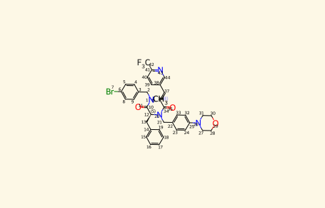 CN(Cc1ccc(Br)cc1)C(=O)[C@H](Cc1ccccc1)N(Cc1ccc(N2CCOCC2)cc1)C(=O)/C=C/c1ccc(C(F)(F)F)nc1